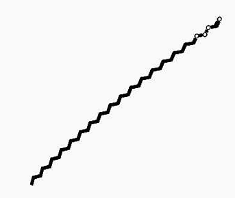 CCCCCCCCCCCCCCCCCCCCCCCCCCCCCCCCCOOOC=O